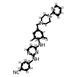 Cc1cc(CN2CCN(c3ccccn3)CC2)cc(C)c1Nc1ccnc(Nc2ccc(C#N)cc2)n1